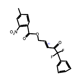 Cc1ccc(C(=O)OC/C=C/C(=O)C(F)(F)c2ccccc2)c([N+](=O)[O-])c1